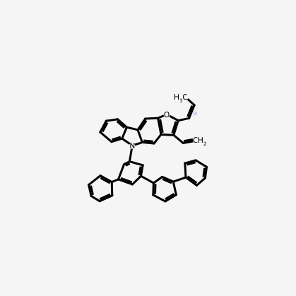 C=Cc1c(/C=C\C)oc2cc3c4ccccc4n(-c4cc(-c5ccccc5)cc(-c5cccc(-c6ccccc6)c5)c4)c3cc12